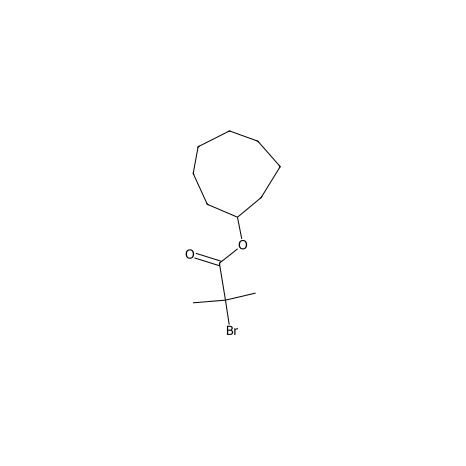 CC(C)(Br)C(=O)OC1CCCCCCC1